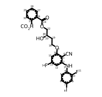 N#Cc1c(Nc2ccc(I)cc2F)cc(F)cc1OCC[C@@H](O)COC(=O)c1ccccc1C(=O)O